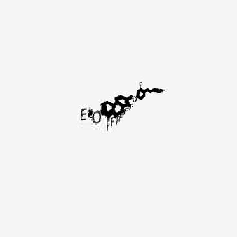 C=CCCc1ccc(OCc2ccc3c(c2F)C(F)(F)C(F)(F)c2c-3ccc(OCC)c2F)cc1F